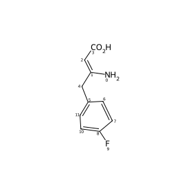 N/C(=C\C(=O)O)Cc1ccc(F)cc1